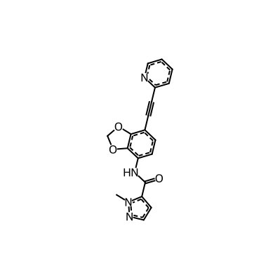 Cn1nccc1C(=O)Nc1ccc(C#Cc2ccccn2)c2c1OCO2